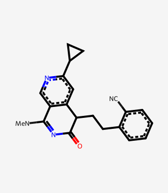 CNC1=NC(=O)C(CCc2ccccc2C#N)c2cc(C3CC3)ncc21